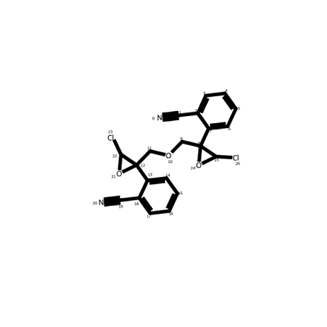 N#Cc1ccccc1C1(COCC2(c3ccccc3C#N)OC2Cl)OC1Cl